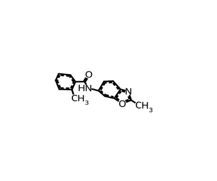 Cc1nc2ccc(NC(=O)c3ccccc3C)cc2o1